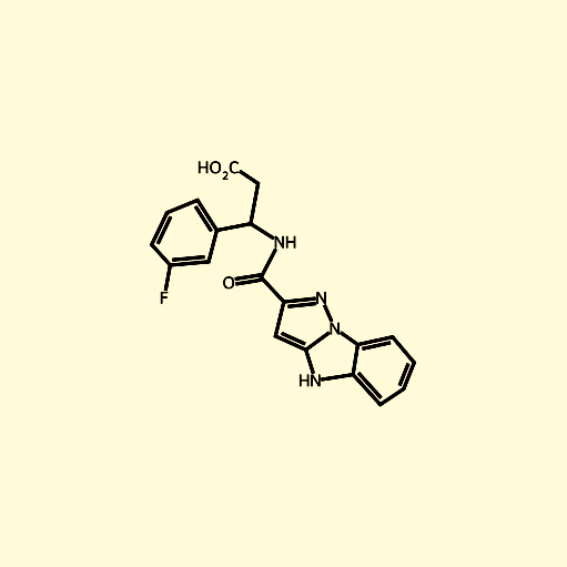 O=C(O)CC(NC(=O)c1cc2[nH]c3ccccc3n2n1)c1cccc(F)c1